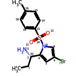 CC[C@H](N)c1cc(Br)cn1S(=O)(=O)c1ccc(C)cc1